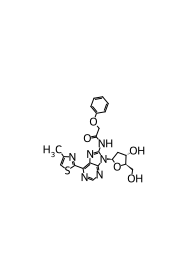 Cc1csc(-c2ncnc3c2nc(NC(=O)COc2ccccc2)n3[C@H]2C[C@H](O)[C@@H](CO)O2)n1